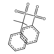 CC(C)(c1ccccc1)S(=O)(=O)S(=O)(=O)c1ccccc1